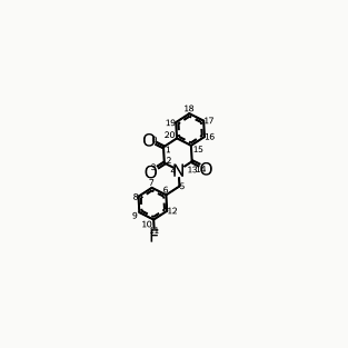 O=C1C(=O)N(Cc2cccc(F)c2)C(=O)c2ccccc21